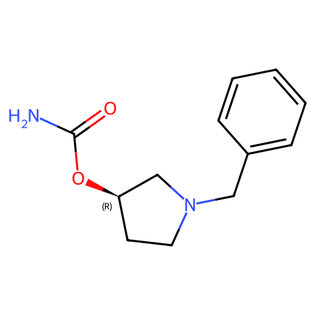 NC(=O)O[C@@H]1CCN(Cc2ccccc2)C1